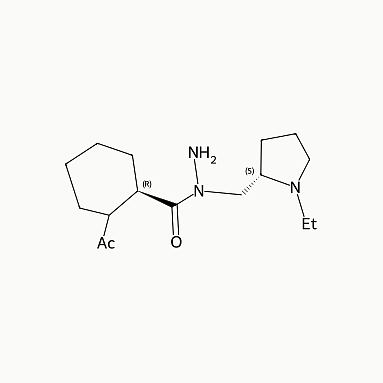 CCN1CCC[C@H]1CN(N)C(=O)[C@@H]1CCCCC1C(C)=O